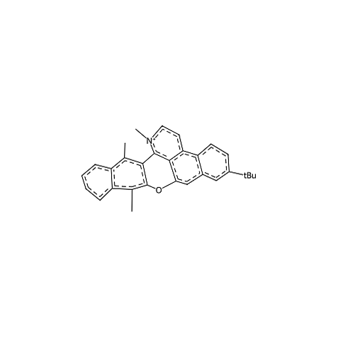 Cc1c2c(c(C)c3ccccc13)-c1c3c(cc4cc(C(C)(C)C)ccc4c3cc[n+]1C)O2